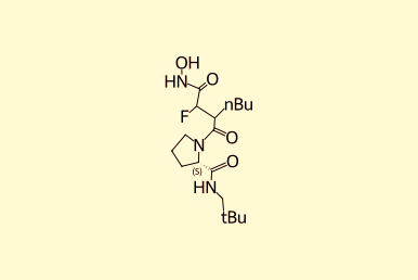 CCCCC(C(=O)N1CCC[C@H]1C(=O)NCC(C)(C)C)C(F)C(=O)NO